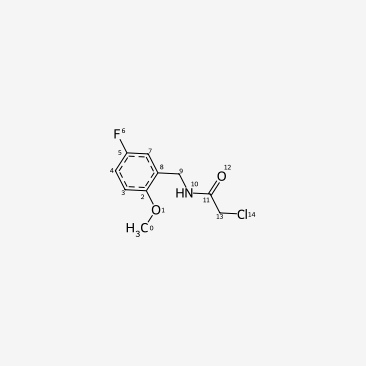 COc1ccc(F)cc1CNC(=O)CCl